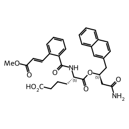 COC(=O)C=Cc1ccccc1C(=O)N[C@@H](CCCC(=O)O)C(=O)O[C@H](CC(N)=O)Cc1ccc2ccccc2c1